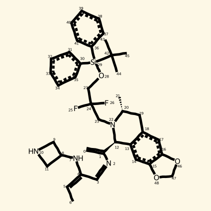 C=C(/N=C\C(=C/C)NC1CNC1)[C@@H]1c2cc3c(cc2C[C@@H](C)N1CC(F)(F)CO[Si](c1ccccc1)(c1ccccc1)C(C)(C)C)OCO3